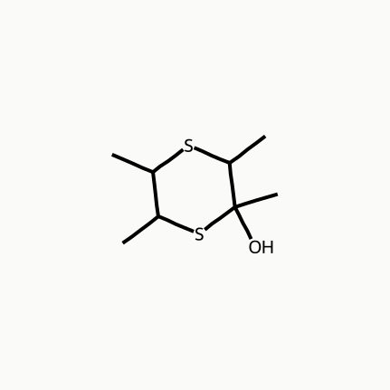 CC1SC(C)C(C)(O)SC1C